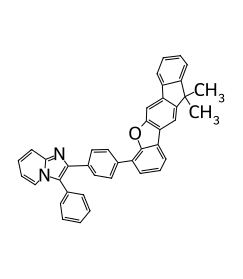 CC1(C)c2ccccc2-c2cc3oc4c(-c5ccc(-c6nc7ccccn7c6-c6ccccc6)cc5)cccc4c3cc21